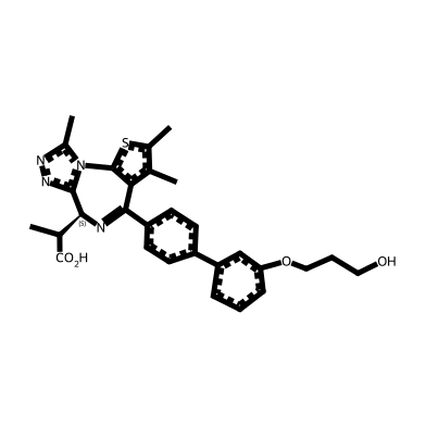 Cc1sc2c(c1C)C(c1ccc(-c3cccc(OCCCO)c3)cc1)=N[C@@H](C(C)C(=O)O)c1nnc(C)n1-2